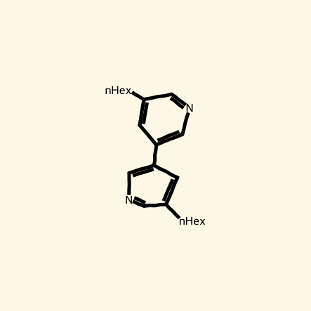 CCCCCCc1cncc(-c2cncc(CCCCCC)c2)c1